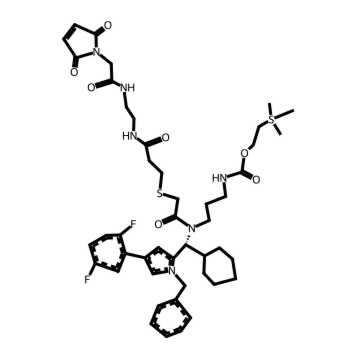 CS(C)(C)CCOC(=O)NCCCN(C(=O)CSCCC(=O)NCCNC(=O)CN1C(=O)C=CC1=O)[C@@H](c1cc(-c2cc(F)ccc2F)cn1Cc1ccccc1)C1CCCCC1